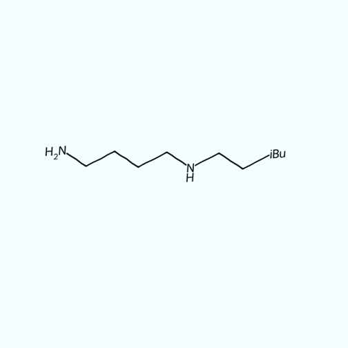 CCC(C)CCNCCCCN